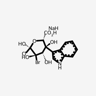 O=C(O)[C@H]1O[C@](O)(Cl)[C@@](O)(Br)[C@@H](O)[C@@]1(O)c1c[nH]c2ccccc12.[NaH]